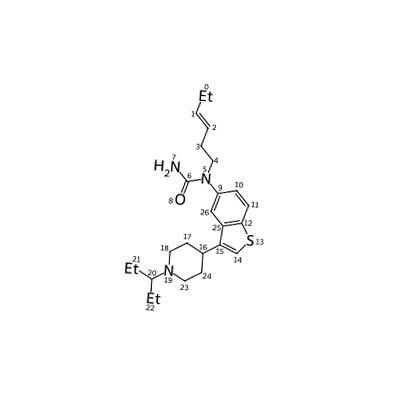 CCC=CCCN(C(N)=O)c1ccc2scc(C3CCN(C(CC)CC)CC3)c2c1